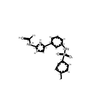 Cc1ccc(S(=O)(=O)Nc2cccc(-c3csc(NC(=O)I)n3)c2)cc1